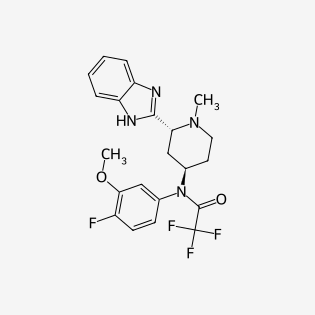 COc1cc(N(C(=O)C(F)(F)F)[C@@H]2CCN(C)[C@@H](c3nc4ccccc4[nH]3)C2)ccc1F